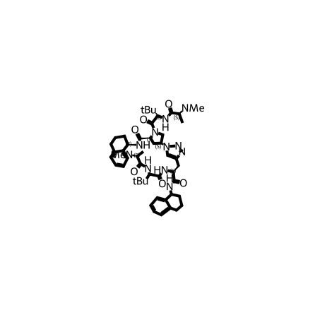 CN[C@@H](C)C(=O)NC(C(=O)N[C@@H](Cc1cn([C@H]2C[C@@H](C(=O)N[C@@H]3CCCc4ccccc43)N(C(=O)[C@@H](NC(=O)[C@H](C)NC)C(C)(C)C)C2)nn1)C(=O)NC1CCCc2ccccc21)C(C)(C)C